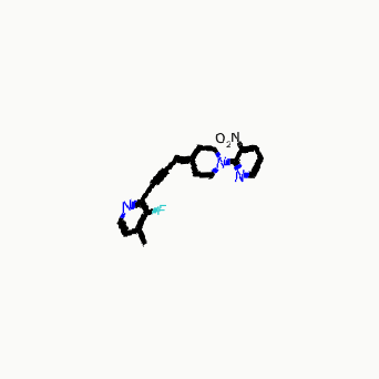 Cc1ccnc(C#CC=C2CCN(c3ncccc3[N+](=O)[O-])CC2)c1F